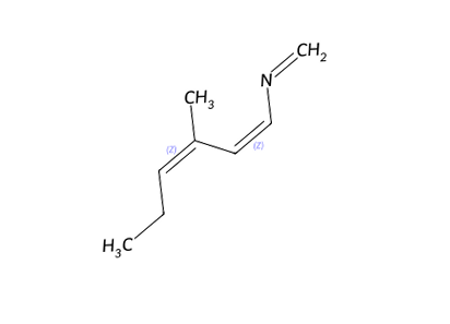 C=N/C=C\C(C)=C/CC